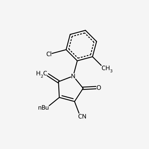 C=C1C(CCCC)=C(C#N)C(=O)N1c1c(C)cccc1Cl